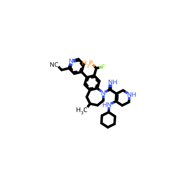 CC1CCN(C(=N)C2=C(NC3CCCCC3)CCNC2)c2cc(C(F)P)c(-c3ccnc(CC#N)c3)cc2C1